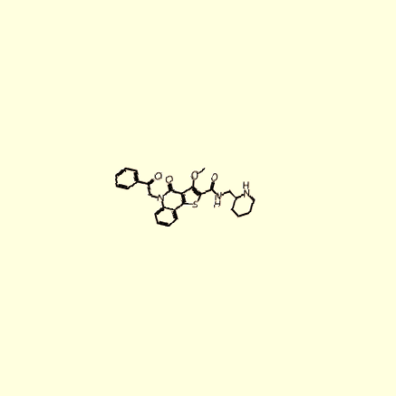 COc1c(C(=O)NC[C@@H]2CCCCN2)sc2c1c(=O)n(CC(=O)c1ccccc1)c1ccccc21